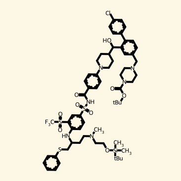 CN(CCO[Si](C)(C)C(C)(C)C)CCC(CSc1ccccc1)Nc1ccc(S(=O)(=O)NC(=O)c2ccc(N3CCC(C(O)c4cc(CN5CCN(C(=O)OC(C)(C)C)CC5)ccc4-c4ccc(Cl)cc4)CC3)cc2)cc1S(=O)(=O)C(F)(F)F